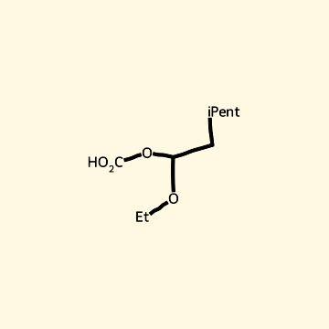 CCCC(C)CC(OCC)OC(=O)O